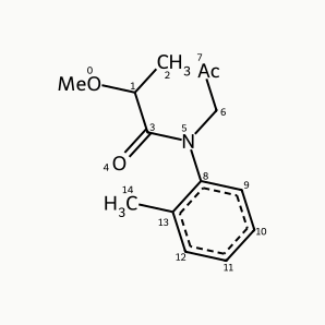 COC(C)C(=O)N(CC(C)=O)c1ccccc1C